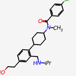 CC(C)NCc1cc(CCO)ccc1C1CCC(N(C)C(=O)c2ccc(Cl)cc2)CC1